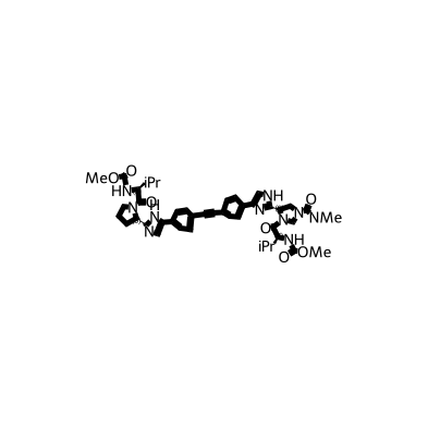 CNC(=O)N1C[C@@H](c2nc(-c3ccc(C#Cc4ccc(-c5cnc([C@@H]6CCCN6C(=O)[C@@H](NC(=O)OC)C(C)C)[nH]5)cc4)cc3)c[nH]2)N(C(=O)[C@@H](NC(=O)OC)C(C)C)C1